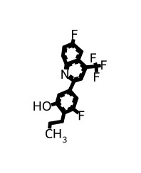 CCCc1c(O)cc(-c2cc(C(F)(F)F)c3cc(F)ccc3n2)cc1F